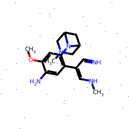 CN/C=C(\C=N)c1cc(N)c(OC)cc1N1C2CC1CN(C)C2